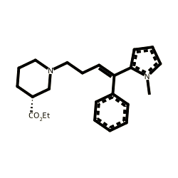 CCOC(=O)[C@@H]1CCCN(CC/C=C(\c2ccccc2)c2cccn2C)C1